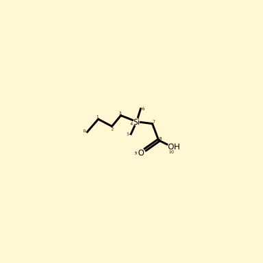 CCCC[Si](C)(C)CC(=O)O